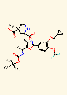 CC(NC(=O)OC(C)(C)C)c1oc(-c2ccc(OC(F)F)c(OCC3CC3)c2)nc1C[C@]1(C(=O)O)CC(C)(C(=O)O)C=CN1